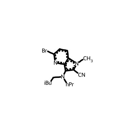 CCCN(CC(C)CC)c1c(C#N)n(C)c2ccc(Br)nc12